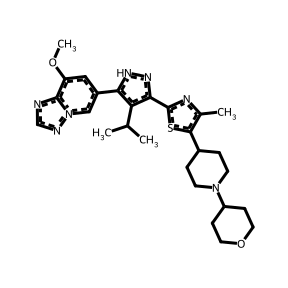 COc1cc(-c2[nH]nc(-c3nc(C)c(C4CCN(C5CCOCC5)CC4)s3)c2C(C)C)cn2ncnc12